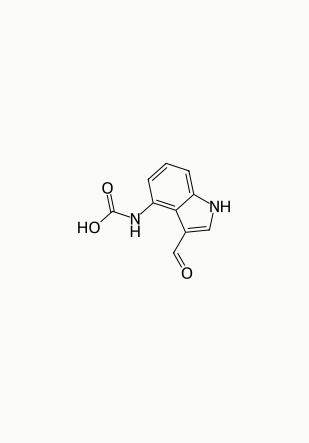 O=Cc1c[nH]c2cccc(NC(=O)O)c12